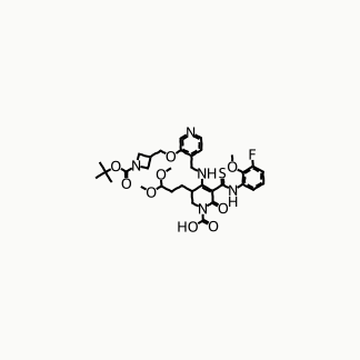 COc1c(F)cccc1NC(=S)C1=C(NCc2ccncc2OCC2CN(C(=O)OC(C)(C)C)C2)C(CCC(OC)OC)CN(C(=O)O)C1=O